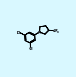 FC(F)(F)C1CCN(c2cc(Cl)cc(Cl)c2)C1